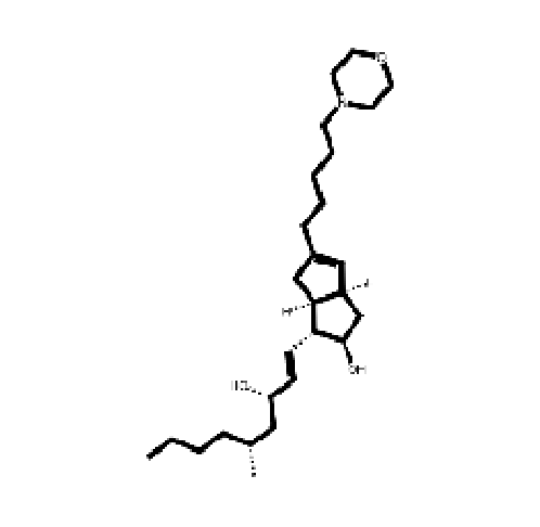 CCCC[C@@H](C)C[C@H](O)/C=C/[C@@H]1[C@H]2CC(CCCCCN3CCOCC3)=C[C@H]2C[C@H]1O